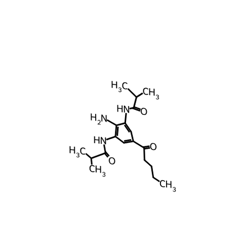 CCCCC(=O)c1cc(NC(=O)C(C)C)c(N)c(NC(=O)C(C)C)c1